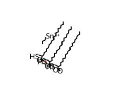 CCCCCCCCC=CCCCCCCCCC(CS)C(=O)[O-].CCCCCCCCC=CCCCCCCCCC(CS)C(=O)[O-].CCCCCCCCC=CCCCCCCCCC(CS)C(=O)[O-].CCC[CH2][Sn+3]